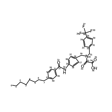 CCCCCCCCc1ccc(C(=O)Nc2ccc(CN(Cc3ccc(C(F)(F)F)cc3)C(=O)C(=O)O)cc2)cc1